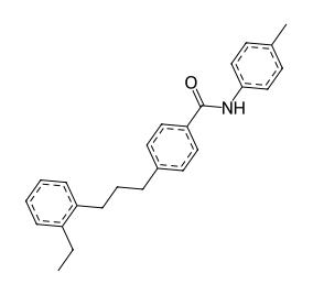 CCc1ccccc1CCCc1ccc(C(=O)Nc2ccc(C)cc2)cc1